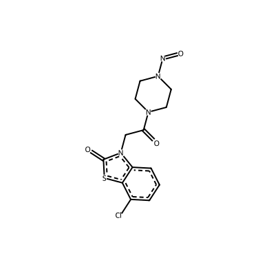 O=NN1CCN(C(=O)Cn2c(=O)sc3c(Cl)cccc32)CC1